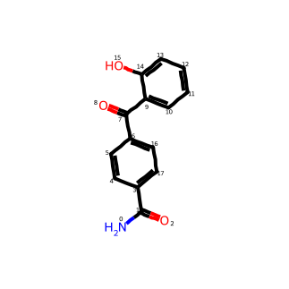 NC(=O)c1ccc(C(=O)c2ccccc2O)cc1